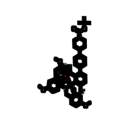 COc1ccc(CN(Cc2ccc(OC)cc2)S(=O)(=O)c2c(Br)ccc(-c3ccc(C4CCN(C(=O)OC(C)(C)C)CC4)cc3)c2-c2nnnn2Cc2ccc(OC)cc2)cc1